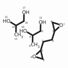 C(CC1CO1)C1CO1.CC(O)CO.CC(O)CO